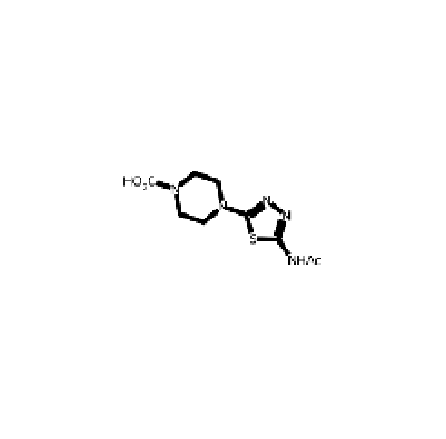 CC(=O)Nc1nnc(N2CCN(C(=O)O)CC2)s1